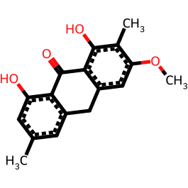 COc1cc2c(c(O)c1C)C(=O)c1c(O)cc(C)cc1C2